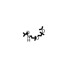 CC(C)OC(C)(C)CCOC(C)(C)CCNC(=O)C(C)C